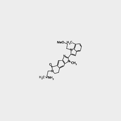 COCCn1c(-c2nc3cc4c(cc3n2C)CCN(C[C@@H](C)N)C4=O)cc2cccc(C)c21